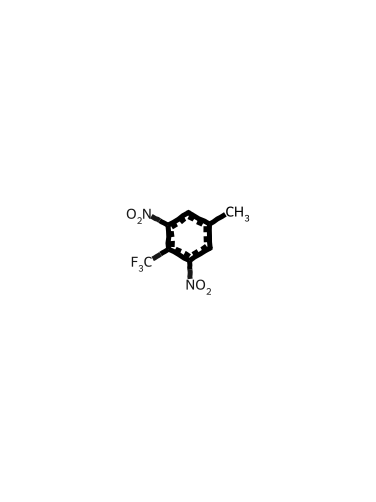 Cc1cc([N+](=O)[O-])c(C(F)(F)F)c([N+](=O)[O-])c1